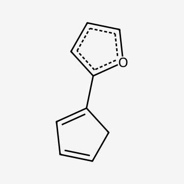 C1=CCC(c2ccco2)=C1